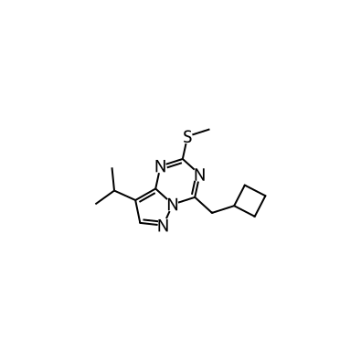 CSc1nc(CC2CCC2)n2ncc(C(C)C)c2n1